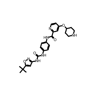 CC(C)(C)c1cc(NC(=O)Nc2ccc(NC(=O)c3cc(OC4CCNCC4)ccn3)cc2)no1